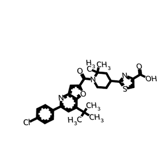 CC(C)(C)c1cc(-c2ccc(Cl)cc2)nc2cc(C(=O)N3CCC(c4nc(C(=O)O)cs4)CC3(C)C)oc12